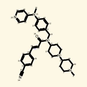 CN1CCC(N2CCC(N(Cc3ccc(N(C)c4ccncc4)cc3)C(=O)/C=C/c3ccc(C#N)cc3)CC2)CC1